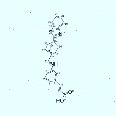 O=C(O)/C=C/c1cccc(NCC23CCC(c4nc5ccccc5s4)(CC2)CC3)c1